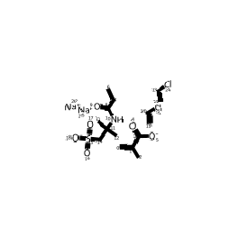 C=C(C)C(=O)[O-].C=CC(=O)NC(C)(C)CS(=O)(=O)[O-].C=CCl.C=CCl.[Na+].[Na+]